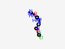 CN1c2ccc(NC(=O)c3cncnc3)cc2NC1CN1CCC(c2cccc(OCc3ccc(Cl)cc3F)n2)CC1